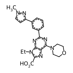 CCn1c(C(=O)O)nc2c(N3CCOCC3)nc(-c3cccc(-c4ccn(C)n4)c3)nc21